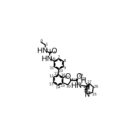 CCNC(=O)Nc1cccc(-c2cccc3c2OC(C(=O)N[C@H]2CN4CCC2CC4)C3)c1